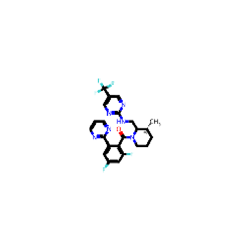 C[C@@H]1CCCN(C(=O)c2c(F)cc(F)cc2-c2ncccn2)C1CNc1ncc(C(F)(F)F)cn1